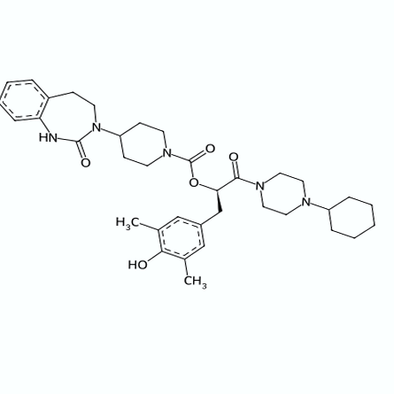 Cc1cc(C[C@@H](OC(=O)N2CCC(N3CCc4ccccc4NC3=O)CC2)C(=O)N2CCN(C3CCCCC3)CC2)cc(C)c1O